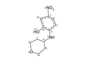 O=[N+]([O-])c1ccc(NC2CCOCC2)c(O)c1